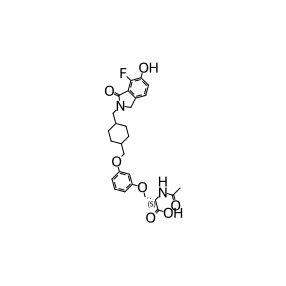 CC(=O)N[C@@H](COc1cccc(OCC2CCC(CN3Cc4ccc(O)c(F)c4C3=O)CC2)c1)C(=O)O